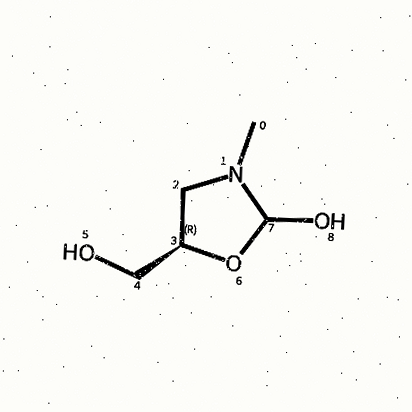 CN1C[C@H](CO)OC1O